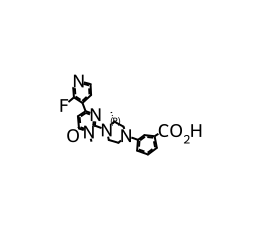 C[C@@H]1CN(c2cccc(C(=O)O)c2)CCN1c1nc(-c2ccncc2F)cc(=O)n1C